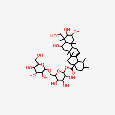 CC1CCC2(C(=O)OC3OC(COC4OC(CO)C(O)C(O)C4O)C(O)C(O)C3O)CCC3(C)C(=CCC4C5(C)CC(O)C(O)C(C)(CO)C5C(O)CC43C)C2C1C